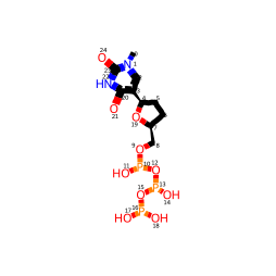 Cn1cc([C@H]2CC[C@@H](COP(O)OP(O)OP(O)O)O2)c(=O)[nH]c1=O